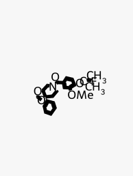 COc1cc(C(=O)N2CC[C@@]3(c4ccccc4)OCOC3C2)ccc1OCC(C)(C)F